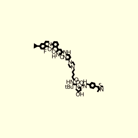 Cc1ncsc1-c1ccc(CNC(=O)[C@@H]2C[C@@H](O)CN2C(=O)[C@@H](NC(=O)CCCCN2CCN(c3ccc(Nc4cc(-c5cccc(-n6ccc7cc(C8CC8)cc(F)c7c6=O)c5CO)cn(C)c4=O)nc3)CC2)C(C)(C)C)cc1